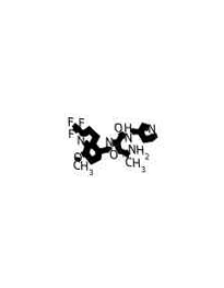 COc1ccc(-c2nc(C(=O)NCc3cccnc3)c([C@H](C)N)o2)c2ccc(C(F)(F)F)nc12